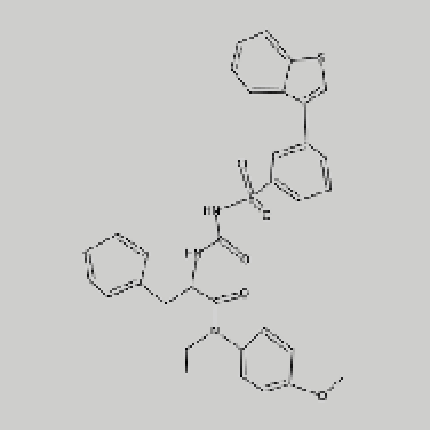 CCN(C(=O)C(Cc1ccccc1)NC(=O)NS(=O)(=O)c1cccc(-c2csc3ccccc23)c1)c1ccc(OC)cc1